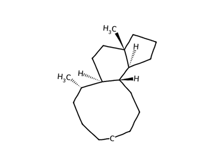 C[C@H]1CCCCCCC[C@@H]2[C@@H]1CC[C@]1(C)CCC[C@@H]21